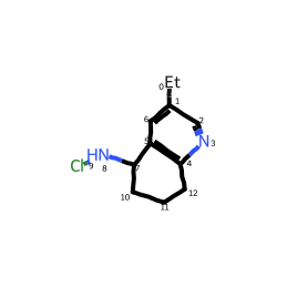 CCc1cnc2c(c1)C(NCl)CCC2